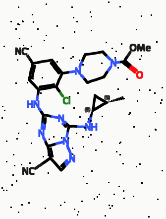 COC(=O)N1CCN(c2cc(C#N)cc(Nc3nc(N[C@H]4C[C@@H]4C)n4ncc(C#N)c4n3)c2Cl)CC1